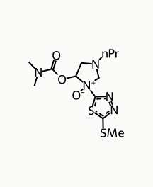 CCCN1CC(OC(=O)N(C)C)[N+]([O-])(c2nnc(SC)s2)C1